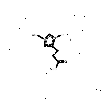 CCCCn1cc(CCC(=O)OC)[n+](CC)c1.[I-]